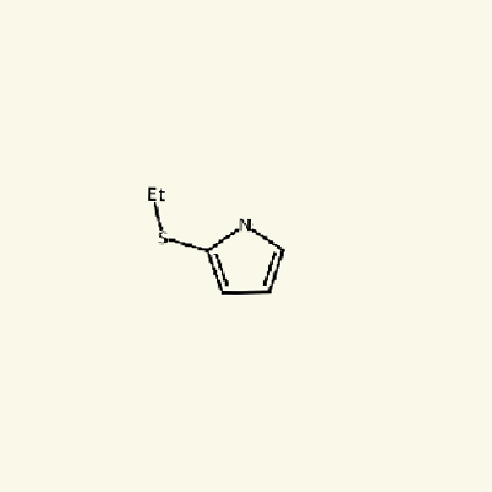 CCSC1=CC=C[N]1